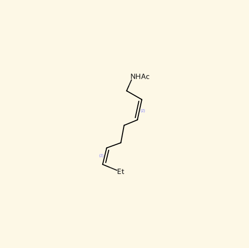 CC/C=C\CC/C=C\CNC(C)=O